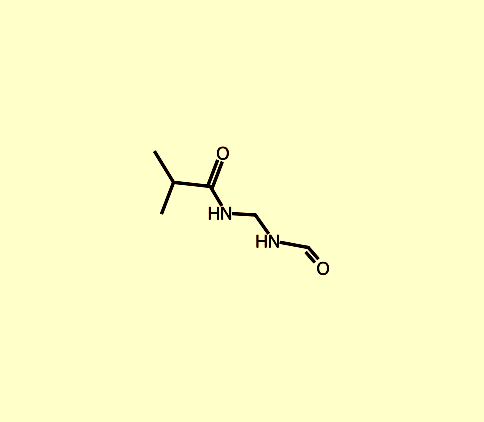 CC(C)C(=O)NCNC=O